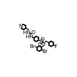 O=C(NCc1ccncc1)Nc1ccc(S(=O)(=O)N(Cc2ccc(F)cc2)Cc2cc(Br)ccc2Br)cc1